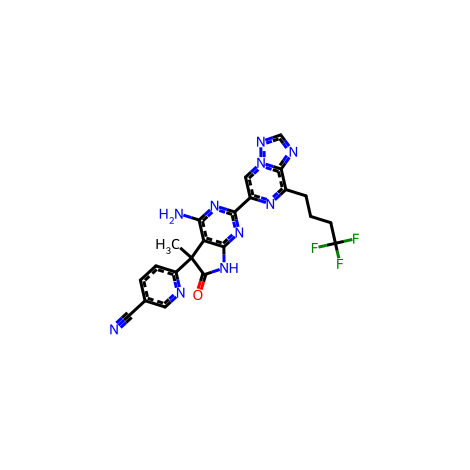 CC1(c2ccc(C#N)cn2)C(=O)Nc2nc(-c3cn4ncnc4c(CCCC(F)(F)F)n3)nc(N)c21